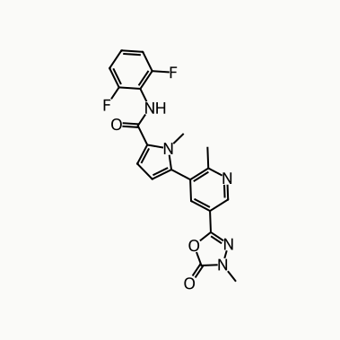 Cc1ncc(-c2nn(C)c(=O)o2)cc1-c1ccc(C(=O)Nc2c(F)cccc2F)n1C